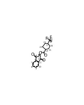 O=C(ON1C(=O)c2ccccc2C1=O)C1CCC(C(F)(F)F)CC1